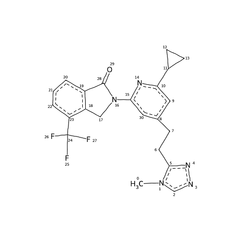 Cn1cnnc1CCc1cc(C2CC2)nc(N2Cc3c(cccc3C(F)(F)F)C2=O)c1